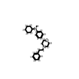 CN(c1ccc([C@H]2CN(CCc3ccccc3)CCO2)cc1)C1CCCCC1